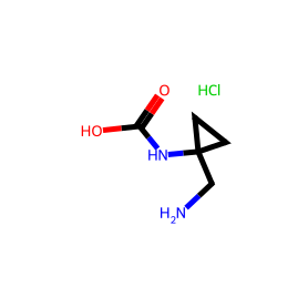 Cl.NCC1(NC(=O)O)CC1